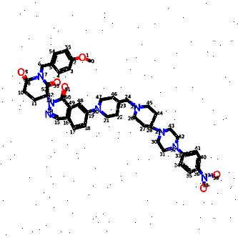 COc1ccc(CN2C(=O)CCC(n3ncc4ccc(N5CCC(CN6CCC(N7CCN(c8ccc([N+](=O)[O-])cc8)CC7)CC6)CC5)cc4c3=O)C2=O)cc1